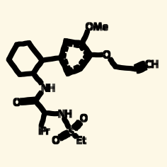 C#CCOc1ccc(C2CCCCC2NC(=O)C(NS(=O)(=O)CC)C(C)C)cc1OC